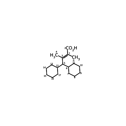 CC(C(=O)O)=C(C)C(C1CCCCC1)C1CCCCC1